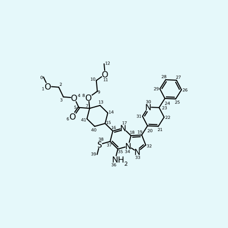 COCCOC(=O)C1(OCCOC)CCC(c2nc3c(C4=CCC(c5ccccc5)N=C4)cnn3c(N)c2SC)CC1